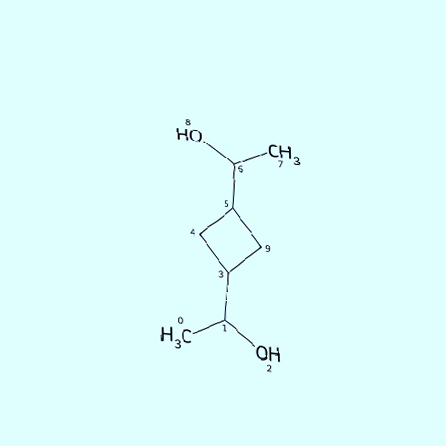 CC(O)C1CC(C(C)O)C1